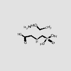 CCO.N.O=C(O)CNCP(=O)(O)O